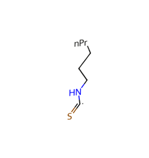 CCCCCCN[C]=S